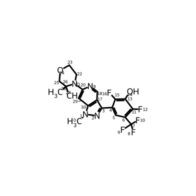 Cn1nc(-c2cc(C(F)(F)F)c(F)c(O)c2F)c2cnc(N3CCOCC3(C)C)cc21